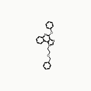 c1ccc(COCCn2cnc3c(Oc4ccccc4)nc4ccccc4c32)cc1